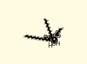 C=CCOC(=O)O[C@@H]1COC(O)[C@H](NC(=O)CC(=O)CCCCCCCCCCC)C1OCCCCCCCCCC